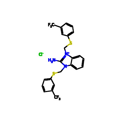 Nc1n(CSc2cccc(C(F)(F)F)c2)c2ccccc2[n+]1CSc1cccc(C(F)(F)F)c1.[Cl-]